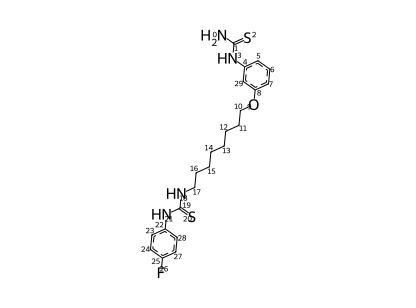 NC(=S)Nc1cccc(OCCCCCCCCNC(=S)Nc2ccc(F)cc2)c1